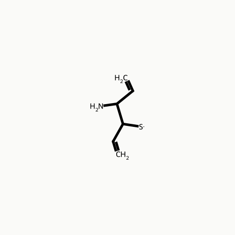 C=CC(N)C([S])C=C